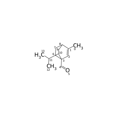 CC1=CC2(C=O)CCC1CC2C(C)C